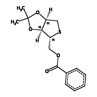 CC1(C)O[C@H]2[C@H](CS[C@@H]2COC(=O)c2ccccc2)O1